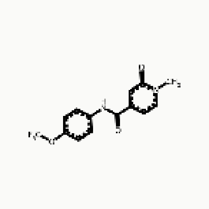 Cn1ccc(C(=O)Nc2ccc(OC(F)(F)F)cc2)cc1=O